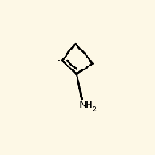 NC1=[C]CC1